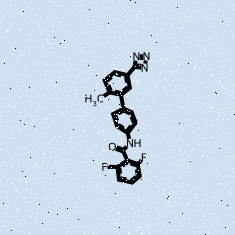 Cc1ccc(C2=NN=N2)cc1-c1ccc(NC(=O)c2c(F)cccc2F)cc1